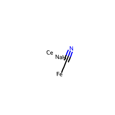 N#[C][Fe].[Ce].[NaH]